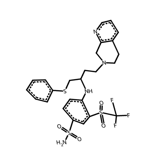 NS(=O)(=O)c1ccc(NC(CCN2CCc3cccnc3C2)CSc2ccccc2)c(S(=O)(=O)C(F)(F)F)c1